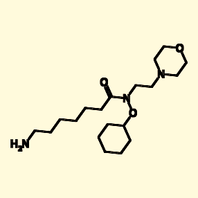 NCCCCCCC(=O)N(CCN1CCOCC1)OC1CCCCC1